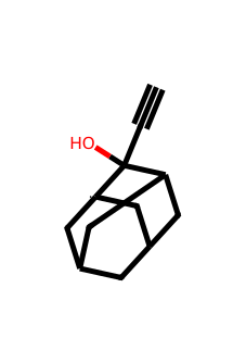 C#CC1(O)[C]2CC3CC(C2)CC1C3